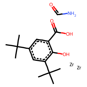 CC(C)(C)c1cc(C(=O)O)c(O)c(C(C)(C)C)c1.NC=O.[Zr].[Zr]